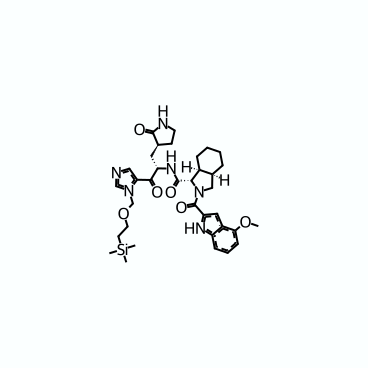 COc1cccc2[nH]c(C(=O)N3C[C@@H]4CCCC[C@@H]4[C@H]3C(=O)N[C@@H](C[C@@H]3CCNC3=O)C(=O)c3cncn3COCC[Si](C)(C)C)cc12